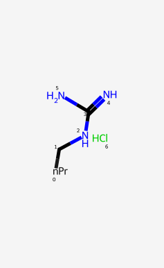 CCCCNC(=N)N.Cl